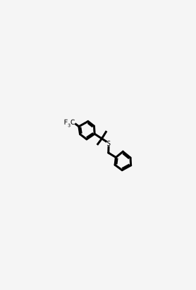 CC(C)(SCc1ccccc1)c1ccc(C(F)(F)F)cc1